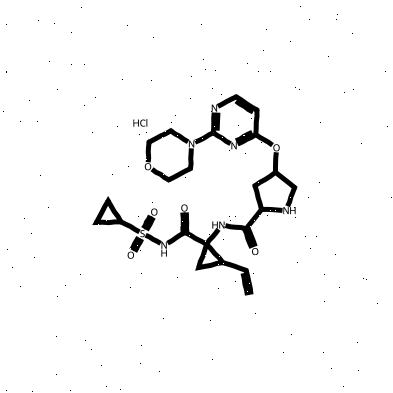 C=CC1CC1(NC(=O)C1CC(Oc2ccnc(N3CCOCC3)n2)CN1)C(=O)NS(=O)(=O)C1CC1.Cl